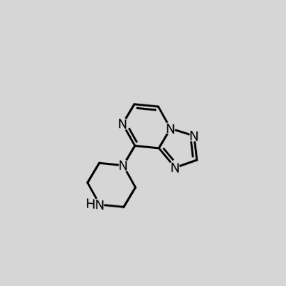 c1cn2ncnc2c(N2CCNCC2)n1